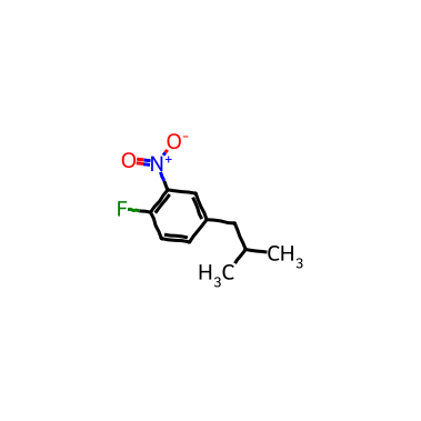 CC(C)Cc1ccc(F)c([N+](=O)[O-])c1